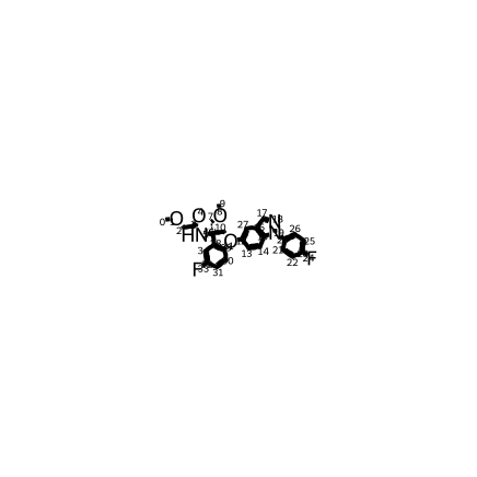 COCC(=O)N[C@@](COC)(COc1ccc2c(cnn2-c2ccc(F)cc2)c1)c1cccc(F)c1